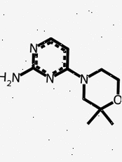 CC1(C)CN(c2ccnc(N)n2)CCO1